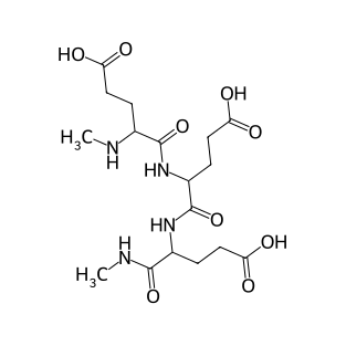 CNC(=O)C(CCC(=O)O)NC(=O)C(CCC(=O)O)NC(=O)C(CCC(=O)O)NC